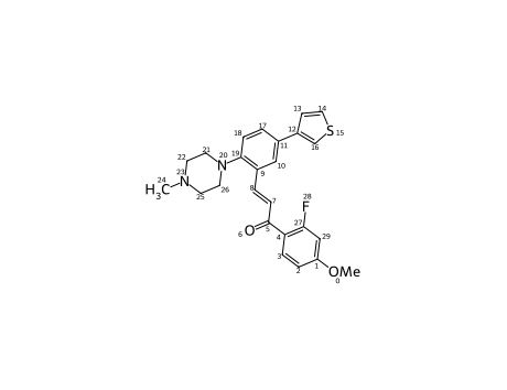 COc1ccc(C(=O)C=Cc2cc(-c3ccsc3)ccc2N2CCN(C)CC2)c(F)c1